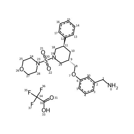 NCc1cccc(OC[C@H]2C[C@H](c3ccccc3)CN(S(=O)(=O)N3CCOCC3)C2)c1.O=C(O)C(F)(F)F